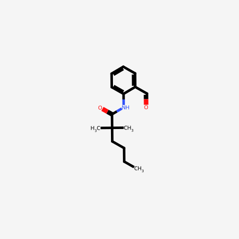 CCCCC(C)(C)C(=O)Nc1ccccc1C=O